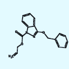 C=CCOC(=O)n1nc(OCc2ccccc2)c2ccccc21